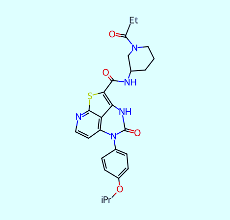 CCC(=O)N1CCCC(NC(=O)c2sc3nccc4c3c2NC(=O)N4c2ccc(OC(C)C)cc2)C1